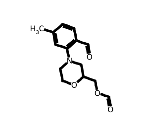 Cc1ccc(C=O)c(N2CCOC(COC=O)C2)c1